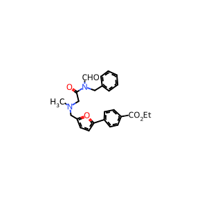 CCOC(=O)c1ccc(-c2ccc(CN(C)CC(=O)N(C=O)Cc3ccccc3)o2)cc1